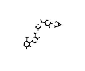 Cc1cc(C(C)n2cc(NC(=O)c3nc(-c4c(C(F)F)ccc(Cl)c4F)cnc3C)cn2)cnc1N1C[C@H]2C[C@H]2C1=O